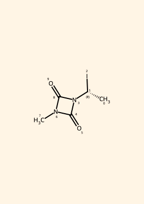 C[C@@H](I)N1C(=O)N(C)C1=O